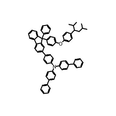 CC(C)CC(c1ccc(Oc2ccc(C3(c4ccccc4)c4ccccc4-c4ccc(-c5ccc(N(c6ccc(-c7ccccc7)cc6)c6ccc(-c7ccccc7)cc6)cc5)cc43)cc2)cc1)C(C)C